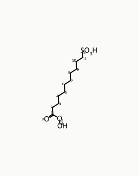 O=C(CCCCCCCCCCS(=O)(=O)O)OO